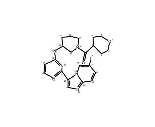 O=C(C1CCOCC1)N1CCCC(Nc2ccnc(-c3cnc4ccc(F)cn34)n2)C1